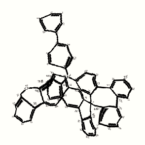 c1ccc(-c2ccc(N(c3ccc4c(c3)C3(c5ccccc5-c5ccccc5-4)c4ccccc4-c4cc5ccccc5cc43)c3ccc4c(c3)oc3ccccc34)cc2)cc1